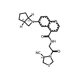 N#C[C@@H]1CSCN1C(=O)CNC(=O)c1ccnc2ccc(N3C[C@@H]4CCC[C@@H]43)cc12